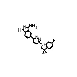 Nc1n[nH]c2ccc(-c3ccc(NCC4(c5ccc(F)cc5)CC4)nn3)cc12